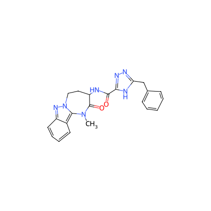 CN1C(=O)C(NC(=O)c2nnc(Cc3ccccc3)[nH]2)CCn2nc3ccccc3c21